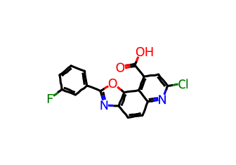 O=C(O)c1cc(Cl)nc2ccc3nc(-c4cccc(F)c4)oc3c12